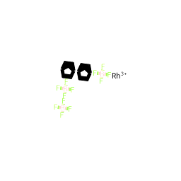 C1=CC2C=CC1C2.C1=CC2C=CC1C2.F[B-](F)(F)F.F[B-](F)(F)F.F[B-](F)(F)F.[Rh+3]